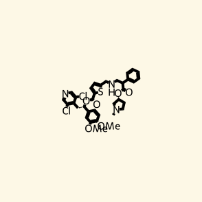 COc1ccc([C@H](Cc2c(Cl)cncc2Cl)OC(=O)c2ccc(CNCC(C(=O)O[C@@H]3CCN(C)C3)c3ccccc3)s2)cc1OC